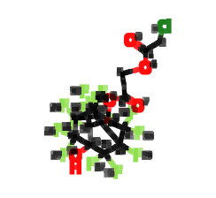 O=C(CCl)OCC(=O)OC12C(F)(F)C3(O)C(F)(F)C(F)(C(F)(F)C(F)(C3(F)F)C1(F)F)C2(F)F